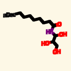 CCCCCCCCCCCCCCCCCC(=O)PC(O)C(O)CO